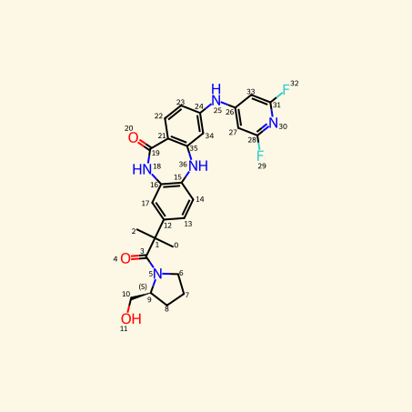 CC(C)(C(=O)N1CCC[C@H]1CO)c1ccc2c(c1)NC(=O)c1ccc(Nc3cc(F)nc(F)c3)cc1N2